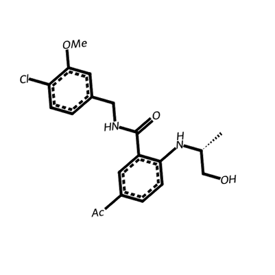 COc1cc(CNC(=O)c2cc(C(C)=O)ccc2N[C@H](C)CO)ccc1Cl